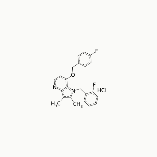 Cc1c(C)n(Cc2ccccc2F)c2c(OCc3ccc(F)cc3)ccnc12.Cl